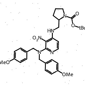 COc1ccc(CN(Cc2ccc(OC)cc2)c2nccc(NCC3CCCN3C(=O)OC(C)(C)C)c2[N+](=O)[O-])cc1